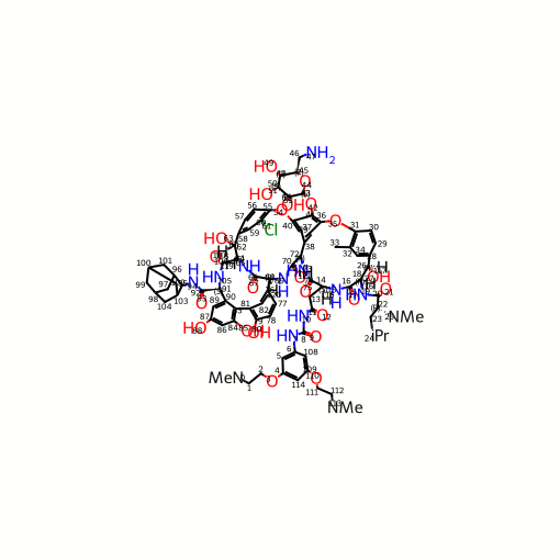 CNCCOc1cc(NC(=O)NC(=O)C[C@@H]2NC(=O)[C@H](NC(=O)[C@@H](CC(C)C)NC)[C@H](O)c3ccc(c(C)c3)Oc3cc4cc(c3O[C@@H]3O[C@H](CN)[C@@H](O)[C@H](O)[C@H]3O)Oc3ccc(cc3Cl)[C@@H](O)[C@@H]3NC(=O)[C@H](NC(=O)[C@@H]4NC2=O)c2ccc(O)c(c2)-c2c(O)cc(O)cc2[C@@H](C(=O)NC2C4CC5CC(C4)CC2C5)NC3=O)cc(OCCNC)c1